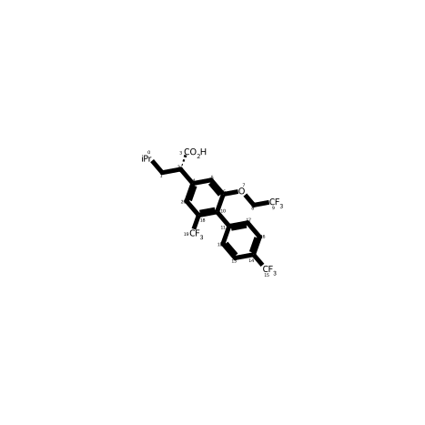 CC(C)C[C@H](C(=O)O)c1cc(OCC(F)(F)F)c(-c2ccc(C(F)(F)F)cc2)c(C(F)(F)F)c1